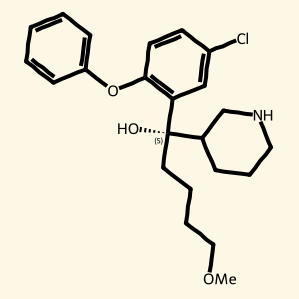 COCCCC[C@@](O)(c1cc(Cl)ccc1Oc1ccccc1)C1CCCNC1